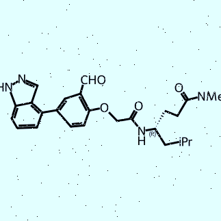 CNC(=O)CC[C@H](CC(C)C)NC(=O)COc1ccc(-c2cccc3[nH]ncc23)cc1C=O